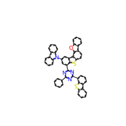 c1ccc(-c2nc(-c3cccc4c3sc3ccccc34)nc(-c3cc(-n4c5ccccc5c5ccccc54)cc4c3sc3ccc5c6ccccc6oc5c34)n2)cc1